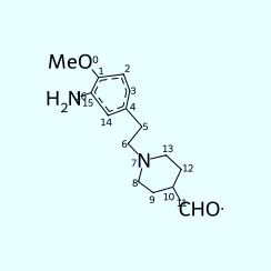 COc1ccc(CCN2CCC([C]=O)CC2)cc1N